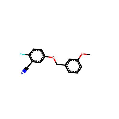 COc1cccc(COc2ccc(F)c(C#N)c2)c1